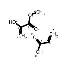 C=C(O)C(=O)OC.C=CC(=O)O